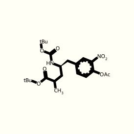 CC(=O)Oc1ccc(C[C@@H](CC(C)C(=O)OC(C)(C)C)NC(=O)OC(C)(C)C)cc1[N+](=O)[O-]